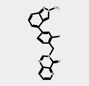 Cn1cc2c(-c3ccc(Cn4cnc5cccnc5c4=O)c(F)c3)cccc2n1